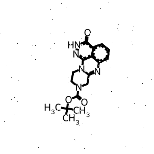 CC(C)(C)OC(=O)N1CCN2C(=Nc3cccc4c(=O)[nH]nc2c34)C1